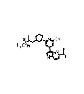 CS(=O)(=O)NCC1CCCN(c2cc(-c3cnc4ccc(C(F)F)nn34)cc(C#N)n2)C1